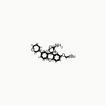 CC(C)(C)COc1ccc2c(c1)[C@]1(COC(N)=N1)c1cc([C@@H]3CCCOC3)ccc1O2